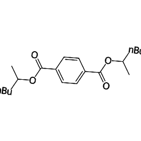 CCCCC(C)OC(=O)c1ccc(C(=O)OC(C)CCCC)cc1